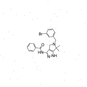 CC1(C)c2[nH]nc(NC(=O)c3ccccc3)c2CN1Cc1cccc(Br)c1